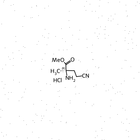 COC(=O)[C@](C)(N)CCC#N.Cl